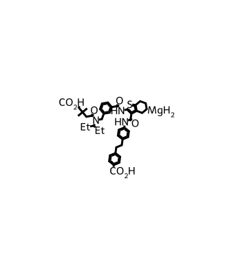 CCC(CC)N(Cc1cccc(C(=O)Nc2sc3c(c2C(=O)Nc2ccc(CCc4ccc(C(=O)O)cc4)cc2)CCCC3)c1)C(=O)CC(C)(C)CC(=O)O.[MgH2]